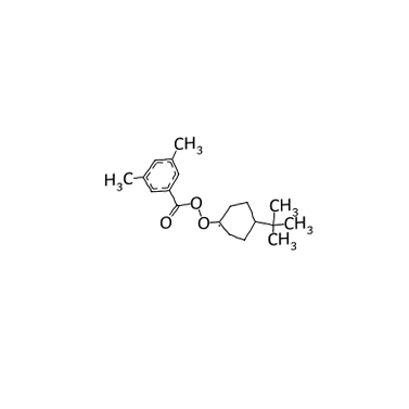 Cc1cc(C)cc(C(=O)OO[C]2CCC(C(C)(C)C)CC2)c1